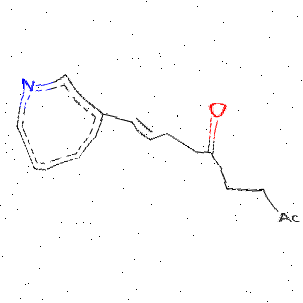 CC(=O)CCC(=O)/C=C/c1cccnc1